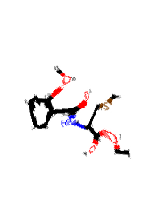 CCOC(=O)C(CSC)NC(=O)c1ccccc1OC